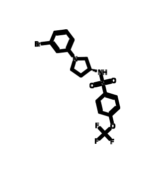 O=S(=O)(N[C@@H]1CCN(c2cccc(Br)c2)C1)c1ccc(OC(F)(F)F)cc1